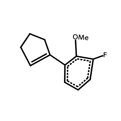 COc1c(F)cccc1C1=CCCC1